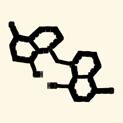 O=c1ccc(O)c2n(Cn3cccc4c(=O)ccc(O)c3-4)cccc1-2